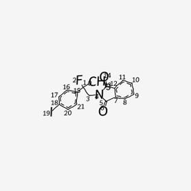 CC(F)(CN1C(=O)c2ccccc2C1=O)c1ccc(I)cc1